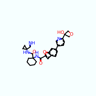 N=CC1(NC(=O)C2(NC(=O)c3cc4ccc(-c5ccc(C6(O)COC6)nc5)cc4o3)CCCCC2)CC1